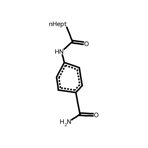 CCCCCCCC(=O)Nc1ccc(C(N)=O)cc1